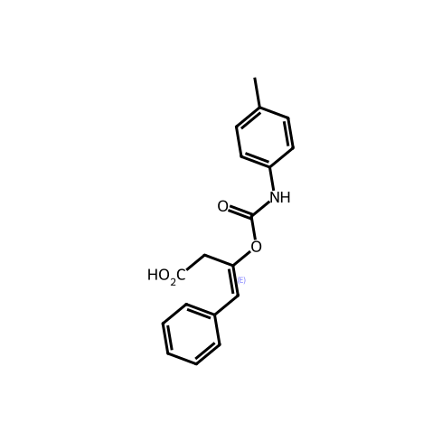 Cc1ccc(NC(=O)O/C(=C/c2ccccc2)CC(=O)O)cc1